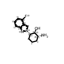 N[C@@H]1CCC[C@H](n2cc3c(F)cccc3n2)[C@H]1O